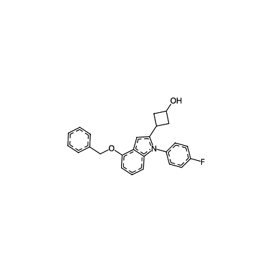 OC1CC(c2cc3c(OCc4ccccc4)cccc3n2-c2ccc(F)cc2)C1